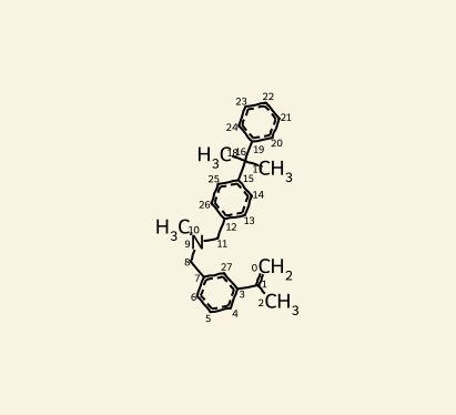 C=C(C)c1cccc(CN(C)Cc2ccc(C(C)(C)c3ccccc3)cc2)c1